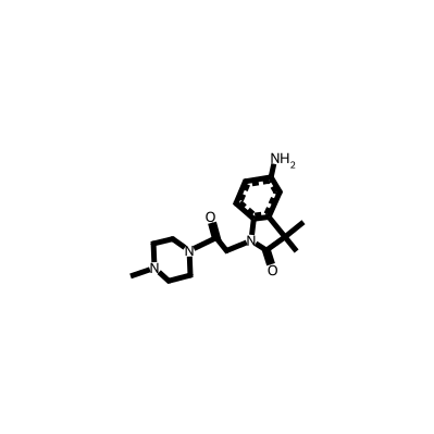 CN1CCN(C(=O)CN2C(=O)C(C)(C)c3cc(N)ccc32)CC1